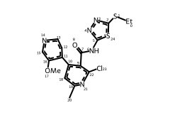 CCSc1nnc(NC(=O)c2c(-c3ccncc3OC)cc(C)nc2Cl)s1